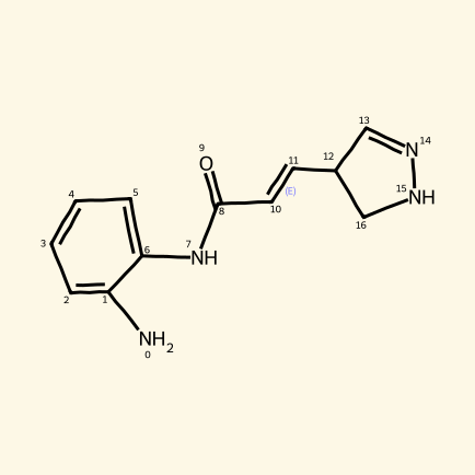 Nc1ccccc1NC(=O)/C=C/C1C=NNC1